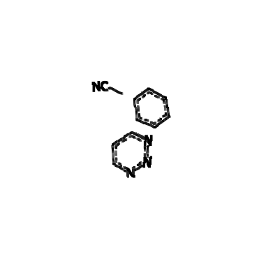 CC#N.c1ccccc1.c1cnnnc1